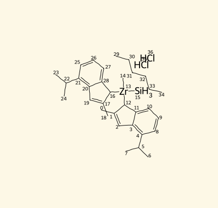 CC1=Cc2c(C(C)C)cccc2[CH]1[Zr]([CH3])([SiH3])[CH]1C(C)=Cc2c(C(C)C)cccc21.CCCCCC.Cl.Cl